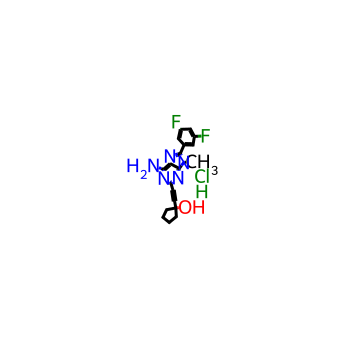 Cl.Cn1c(-c2cc(F)cc(F)c2)nc2c(N)nc(C#CC3(O)CCCC3)nc21